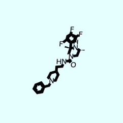 C[C@@H]1CN(C(=O)NCCC2CCN(Cc3ccccc3)CC2)C[C@](C)(c2cc(F)c(F)cc2F)N1